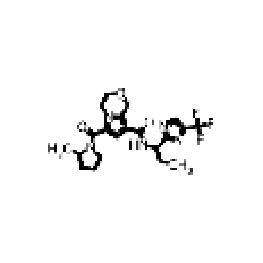 CCC(NC(=O)c1cc(C(=O)N2CCCC2C)n2c1COCC2)c1ncc(C(F)(F)F)s1